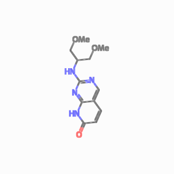 COCC(COC)Nc1ncc2ccc(=O)[nH]c2n1